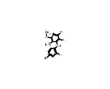 COc1cc(F)c(F)c(Nc2ccc(Br)cc2F)c1N